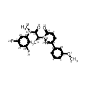 COc1cccc(-c2ccc(=O)n(C(C)C(=O)N(C)c3cc(F)cc(F)c3)n2)c1